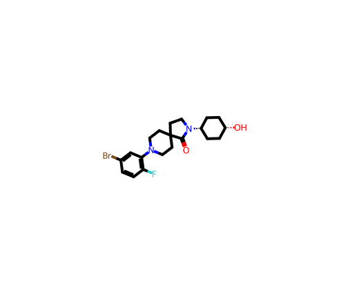 O=C1N([C@H]2CC[C@@H](O)CC2)CCC12CCN(c1cc(Br)ccc1F)CC2